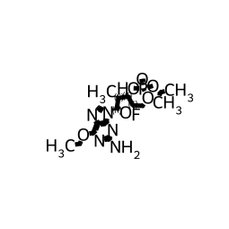 CCOc1nc(N)nc2c1ncn2[C@@H]1O[C@]2(F)COP(=O)(OC(C)C)O[C@H]2[C@@H]1C